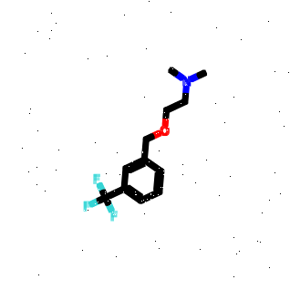 CN(C)CCOCc1cccc(C(F)(F)F)c1